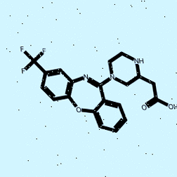 O=C(O)CC1CN(C2=Nc3cc(C(F)(F)F)ccc3Oc3ccccc32)CCN1